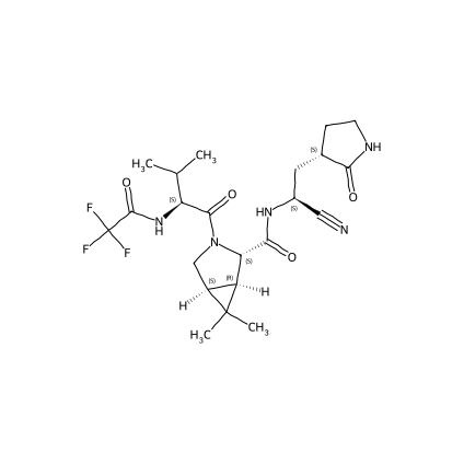 CC(C)[C@H](NC(=O)C(F)(F)F)C(=O)N1C[C@H]2[C@@H]([C@H]1C(=O)N[C@H](C#N)C[C@@H]1CCNC1=O)C2(C)C